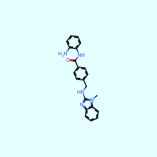 Cn1c(NCc2ccc(C(=O)Nc3ccccc3N)cc2)nc2ccccc21